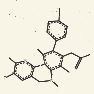 C=C(C)Cc1c(C)c2c(c(C)c1-c1ccc(C)cc1)-c1nc(C)c(F)cc1CN2C